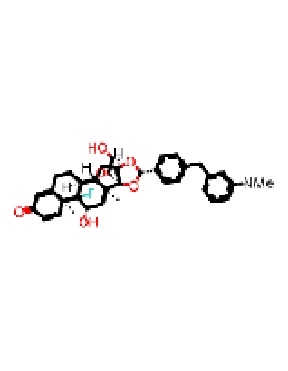 CNc1cccc(Cc2ccc([C@H]3O[C@@H]4C[C@H]5[C@@H]6CCC7=CC(=O)C=C[C@]7(C)[C@@]6(F)[C@@H](O)C[C@]5(C)[C@]4(C(=O)CO)O3)cc2)c1